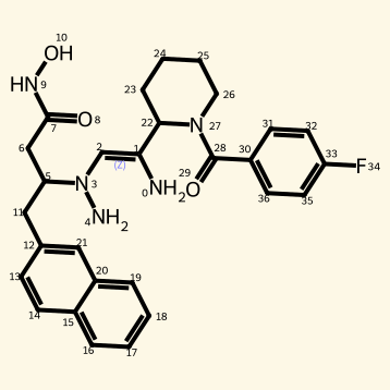 N/C(=C\N(N)C(CC(=O)NO)Cc1ccc2ccccc2c1)C1CCCCN1C(=O)c1ccc(F)cc1